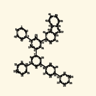 c1ccc(-c2nc(-c3cc(-c4ccncc4)cc(-c4ccc(-c5cccnc5)cc4)c3)cc(-c3ccc4sc5ccccc5c4c3)n2)cc1